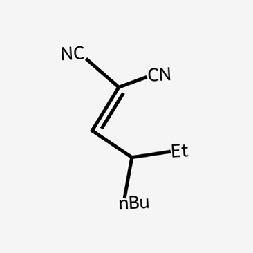 CCCCC(C=C(C#N)C#N)CC